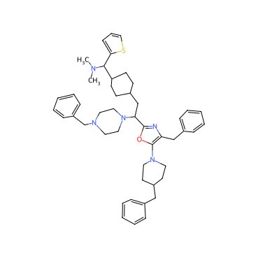 CN(C)C(c1cccs1)C1CCC(CC(c2nc(Cc3ccccc3)c(N3CCC(Cc4ccccc4)CC3)o2)N2CCN(Cc3ccccc3)CC2)CC1